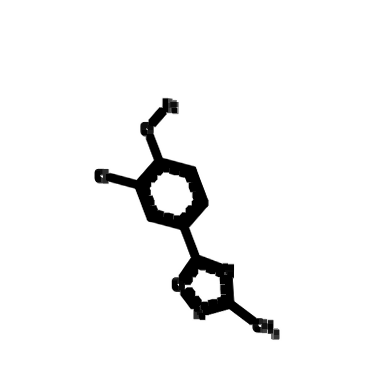 CCOc1ccc(-c2nc(C)no2)cc1Cl